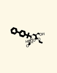 CCOC(=O)[C@H](CO)C[C@H](NBC=O)C(C)(C)c1ccc(-c2ccccc2)cc1